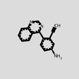 C#Cc1cc(N)ccc1-c1ncnc2ccccc12